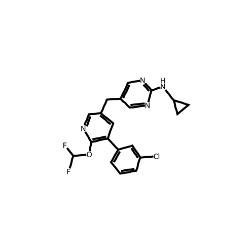 FC(F)Oc1ncc(Cc2cnc(NC3CC3)nc2)cc1-c1cccc(Cl)c1